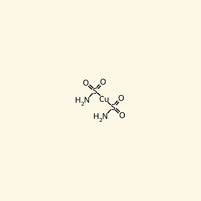 N[S](=O)(=O)[Cu][S](N)(=O)=O